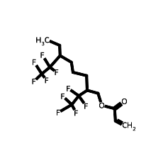 C=CC(=O)OCC(CCCC(CC)C(F)(F)C(F)(F)F)C(F)(F)C(F)(F)F